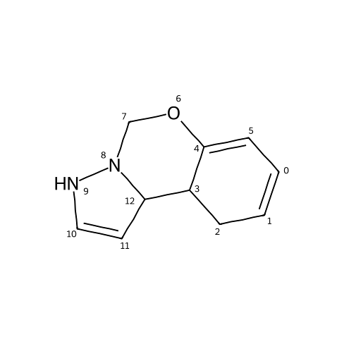 C1=CCC2C(=C1)OCN1NC=CC21